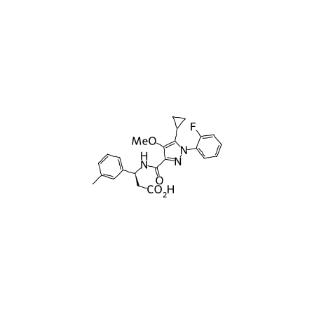 COc1c(C(=O)N[C@@H](CC(=O)O)c2cccc(C)c2)nn(-c2ccccc2F)c1C1CC1